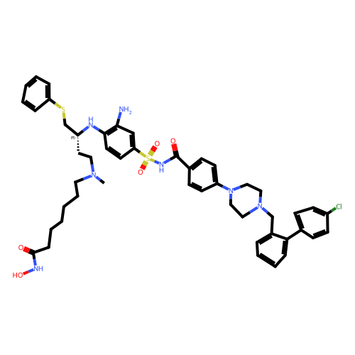 CN(CCCCCCC(=O)NO)CC[C@H](CSc1ccccc1)Nc1ccc(S(=O)(=O)NC(=O)c2ccc(N3CCN(Cc4ccccc4-c4ccc(Cl)cc4)CC3)cc2)cc1N